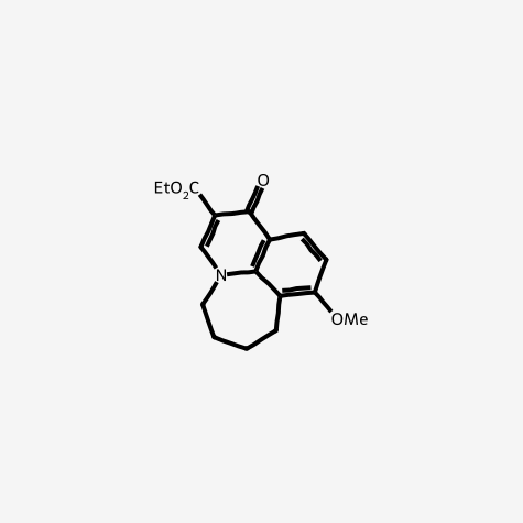 CCOC(=O)c1cn2c3c(c(OC)ccc3c1=O)CCCC2